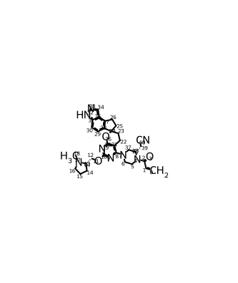 C=CC(=O)N1CCN(c2nc(OC[C@@H]3CCCN3C)nc3c2CCC2(CCc4c2ccc2[nH]ncc42)O3)C[C@@H]1CC#N